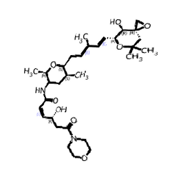 CC(/C=C/[C@H]1OC(C)(C)C[C@@]2(CO2)[C@@H]1O)=C\C[C@@H]1O[C@H](C)C(NC(=O)/C=C\[C@H](O)CC(=O)N2CCOCC2)C[C@@H]1C